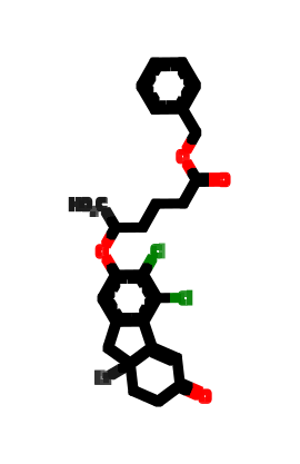 CCC12CCC(=O)C=C1c1c(cc(OC(CCCC(=O)OCc3ccccc3)C(=O)O)c(Cl)c1Cl)C2